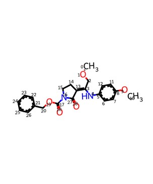 COC/C(Nc1ccc(OC)cc1)=C1\CCN(C(=O)OCc2ccccc2)C1=O